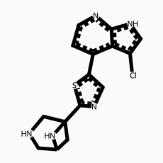 Clc1c[nH]c2nccc(-c3cnc(C45CNCC(C4)N5)s3)c12